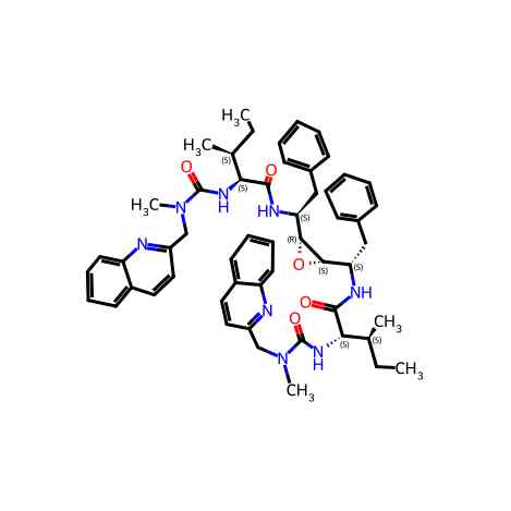 CC[C@H](C)[C@H](NC(=O)N(C)Cc1ccc2ccccc2n1)C(=O)N[C@@H](Cc1ccccc1)[C@@H]1O[C@@H]1[C@H](Cc1ccccc1)NC(=O)[C@@H](NC(=O)N(C)Cc1ccc2ccccc2n1)[C@@H](C)CC